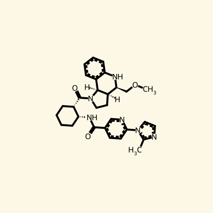 COC[C@@H]1Nc2ccccc2[C@H]2[C@@H]1CCN2C(=O)[C@H]1CCCC[C@H]1NC(=O)c1ccc(-n2ccnc2C)nc1